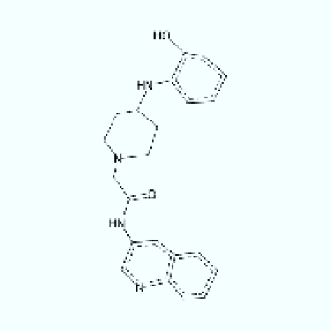 O=C(CN1CCC(Nc2ccccc2O)CC1)Nc1cnc2ccccc2c1